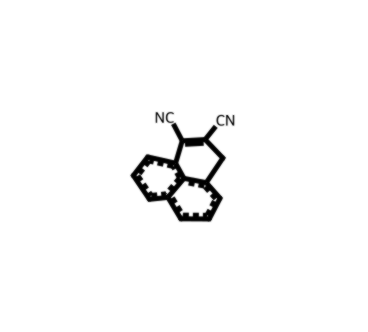 N#CC1=C(C#N)c2cccc3cccc(c23)C1